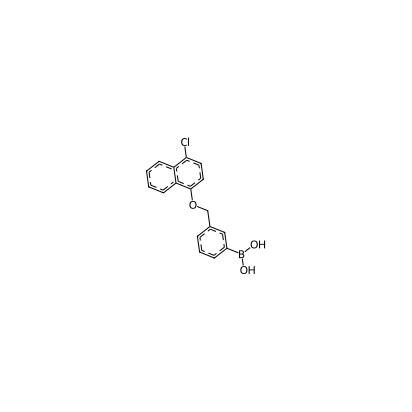 OB(O)c1cccc(COc2ccc(Cl)c3ccccc23)c1